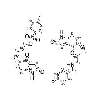 Cc1ccc(S(=O)(=O)OCC2COc3ccc4c(c3O2)CC(=O)N4)cc1.O=C1Cc2c(ccc3c2OC(CNCc2ccc(F)cc2)CO3)N1